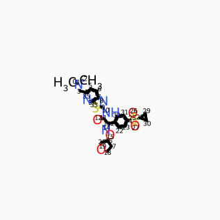 CN(C)Cc1ccc2nc(NC(=O)/C(=N/O[C@@H]3CCOC3)c3ccc(S(=O)(=O)C4CC4)cc3)sc2n1